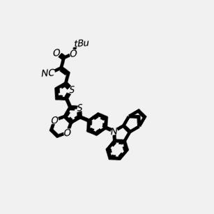 CC(C)(C)OC(=O)/C(C#N)=C/c1ccc(-c2sc(-c3ccc(N4c5ccccc5C5C6CCC(C6)C54)cc3)c3c2OCCO3)s1